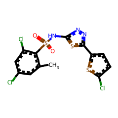 Cc1cc(Cl)cc(Cl)c1S(=O)(=O)Nc1nnc(-c2ccc(Cl)s2)s1